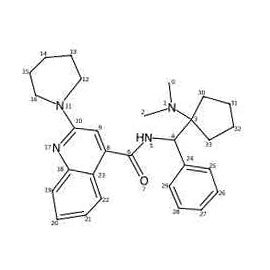 CN(C)C1(C(NC(=O)c2cc(N3CCCCC3)nc3ccccc23)c2ccccc2)CCCC1